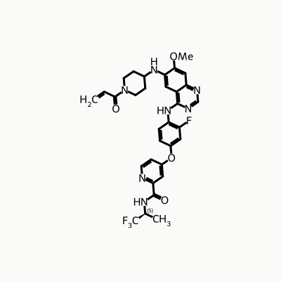 C=CC(=O)N1CCC(Nc2cc3c(Nc4ccc(Oc5ccnc(C(=O)N[C@@H](C)C(F)(F)F)c5)cc4F)ncnc3cc2OC)CC1